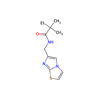 CCC(C)(C)C(=O)NCc1cn2ccsc2n1